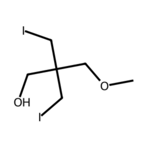 COCC(CO)(CI)CI